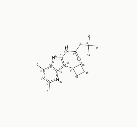 Cc1cc(C)c2nc(NC(=O)CC(C)(C)C)n(C3CCC3)c2n1